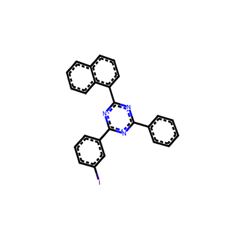 Ic1cccc(-c2nc(-c3ccccc3)nc(-c3cccc4ccccc34)n2)c1